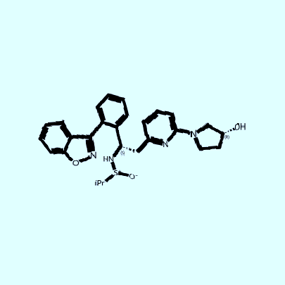 CC(C)[S+]([O-])N[C@@H](Cc1cccc(N2CC[C@@H](O)C2)n1)c1ccccc1-c1noc2ccccc12